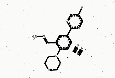 C#N.C#N.NN=Cc1cc(-c2ncc(F)cn2)ccc1N1CCOCC1